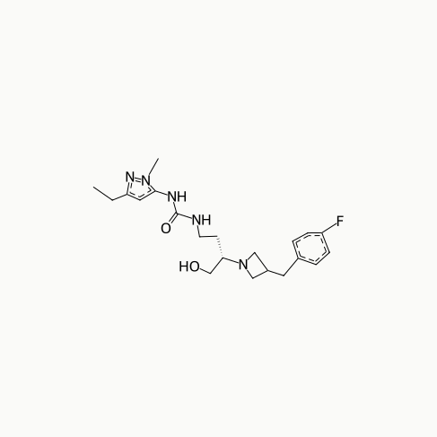 CCc1cc(NC(=O)NCC[C@@H](CO)N2CC(Cc3ccc(F)cc3)C2)n(C)n1